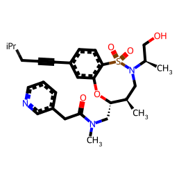 CC(C)CC#Cc1ccc2c(c1)O[C@@H](CN(C)C(=O)Cc1cccnc1)[C@H](C)CN([C@H](C)CO)S2(=O)=O